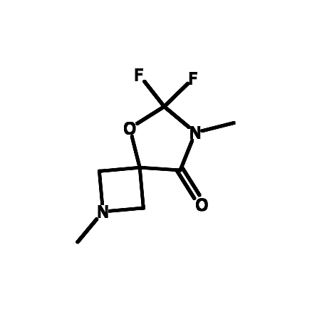 CN1CC2(C1)OC(F)(F)N(C)C2=O